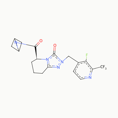 O=C([C@@H]1CCCc2nn(Cc3ccnc(C(F)(F)F)c3F)c(=O)n21)N1CC2CC1C2